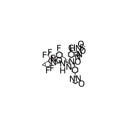 COc1ccnc(-c2ccc3c(=O)n(-c4ccc(Cl)c5c(NS(C)(=O)=O)nn(C)c45)c([C@H](Cc4cc(F)cc(F)c4)NC(=O)Cn4nc(C(F)F)c5c4C(F)(F)C4CC54)nc3c2)n1